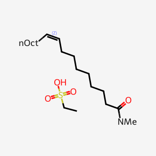 CCCCCCCC/C=C\CCCCCCCC(=O)NC.CCS(=O)(=O)O